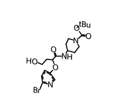 CC(C)(C)OC(=O)N1CCC(NC(=O)C(CCO)Oc2ccc(Br)nc2)CC1